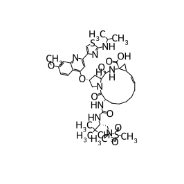 COc1ccc2c(O[C@@H]3C[C@H]4C(=O)N[C@]5(C(=O)O)CC5/C=C\CCCCC[C@H](NC(=O)N[C@H](CN(C)S(C)(=O)=O)C(C)(C)C)C(=O)N4C3)cc(-c3csc(NC(C)C)n3)nc2c1